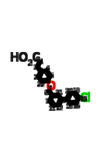 O=C(O)CCc1ccc(OCc2cccc(-c3ccc(Cl)cc3)c2)cc1